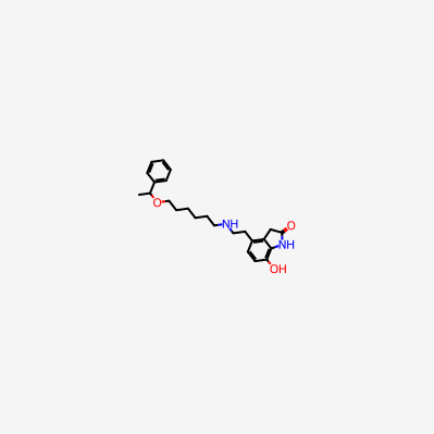 CC(OCCCCCCNCCc1ccc(O)c2c1CC(=O)N2)c1ccccc1